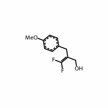 COc1ccc(CC(CO)=C(F)F)cc1